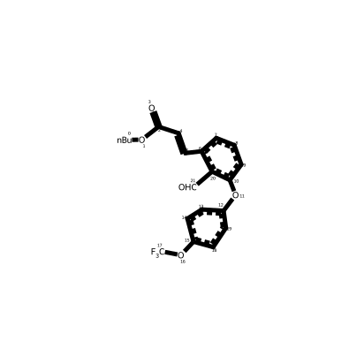 CCCCOC(=O)C=Cc1cccc(Oc2ccc(OC(F)(F)F)cc2)c1C=O